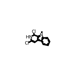 Cn1c2c(c3ccccc31)C=C(Cl)NC2Cl